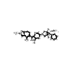 Cn1cc2c(Cl)c(-c3n[nH]c4nc(N5C[C@@H]6[C@H](C5)[C@]6(CN)c5ccccc5)cnc34)ccc2n1